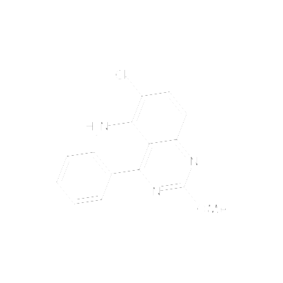 COc1nc(-c2ccccc2)c2c(N)c(Cl)ccc2n1